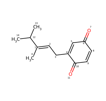 C/C(=C\CC1=CC(=O)C=CC1=O)C(C)C